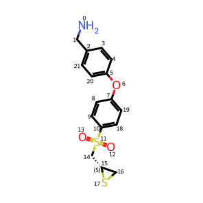 NCc1ccc(Oc2ccc(S(=O)(=O)C[C@@H]3CS3)cc2)cc1